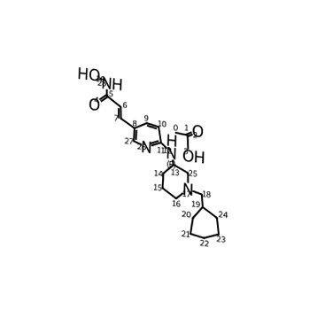 CC(=O)O.O=C(C=Cc1ccc(N[C@@H]2CCCN(CC3CCCCC3)C2)nc1)NO